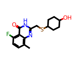 Cc1ccc(F)c2c(=O)[nH]c(CSC3CCC(O)CC3)nc12